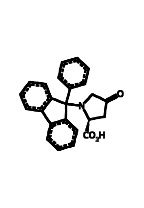 O=C1C[C@@H](C(=O)O)N(C2(c3ccccc3)c3ccccc3-c3ccccc32)C1